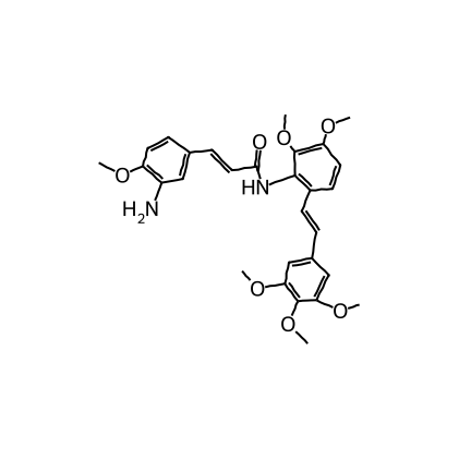 COc1ccc(/C=C/C(=O)Nc2c(/C=C/c3cc(OC)c(OC)c(OC)c3)ccc(OC)c2OC)cc1N